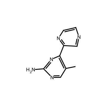 Cc1cnc(N)nc1-c1cnccn1